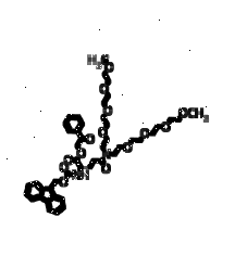 COCCOCCOCCOCCN(CCOCCOCCOCCOC)C(=O)CC[C@H](NC(=O)OCC1c2ccccc2-c2ccccc21)C(=O)OCC(=O)c1ccccc1